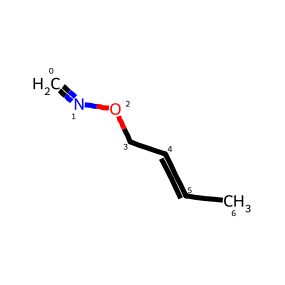 C=NOC/C=C/C